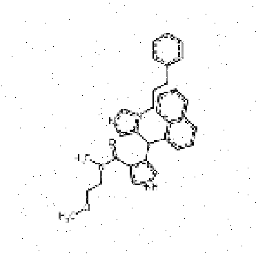 COCCN(C)C(=O)c1c[nH]cc1C(c1cccc2ccccc12)c1cncn1CCCc1ccccc1